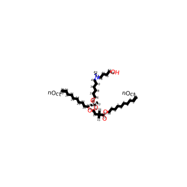 CCCCCCCC/C=C\CCCCCCCCOC(=O)C(C)(C)CC(OCCCCCCCC/C=C\CCCCCCCC)O[Si](C)(C)OCCCCCCN(C)CCCCO